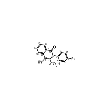 CC(C)c1c(C(=O)O)n(-c2ccc(F)cc2)c(=O)c2ccccc12